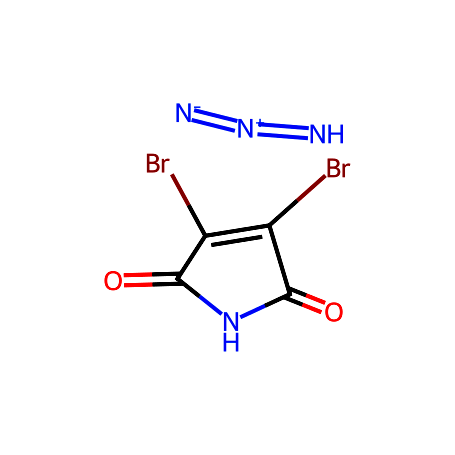 O=C1NC(=O)C(Br)=C1Br.[N-]=[N+]=N